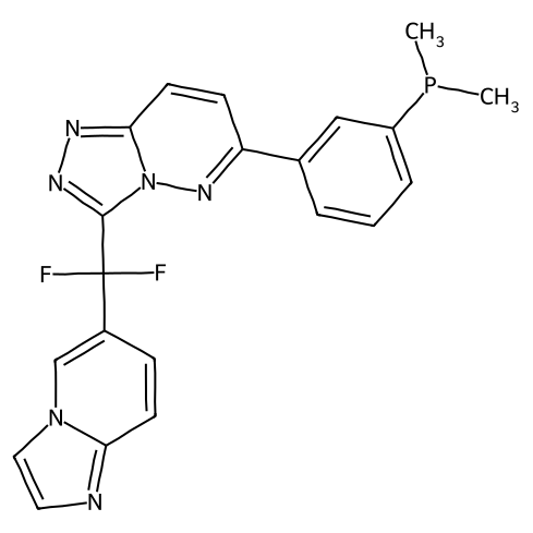 CP(C)c1cccc(-c2ccc3nnc(C(F)(F)c4ccc5nccn5c4)n3n2)c1